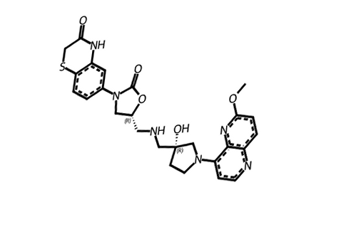 COc1ccc2nccc(N3CC[C@@](O)(CNC[C@@H]4CN(c5ccc6c(c5)NC(=O)CS6)C(=O)O4)C3)c2n1